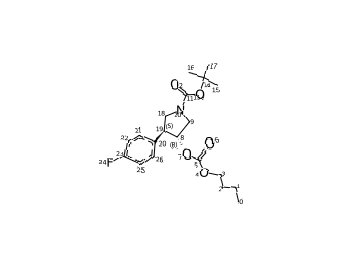 CCCCOC(=O)O[C@H]1CN(C(=O)OC(C)(C)C)C[C@@H]1c1ccc(F)cc1